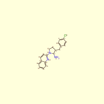 NC1C(Cc2ccc(Cl)cc2)CCN1c1ccc2ccccc2n1